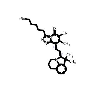 Cc1c(C#N)c(=O)n2c(CCCCCC(C)(C)C)nnc2/c1=C/C=C1\N2CCCc3cccc(c32)C1(C)C